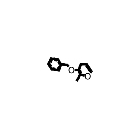 CC1=C(OCc2ccccc2)CC=CO1